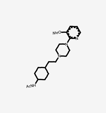 COc1cccnc1N1CCN(CCC2CCC(NC(C)=O)CC2)CC1